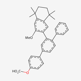 COc1cc2c(cc1-c1cc(-c3ccc(OC(=O)O)cc3)ccc1-c1ccccc1)C(C)(C)CCC2(C)C